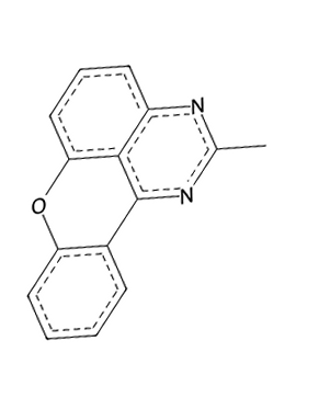 Cc1nc2c3c(cccc3n1)Oc1ccccc1-2